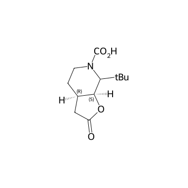 CC(C)(C)C1[C@H]2OC(=O)C[C@H]2CCN1C(=O)O